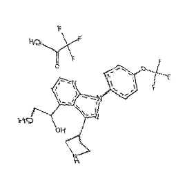 O=C(O)C(F)(F)F.OCC(O)c1ccnc2c1c(C1CNC1)nn2-c1ccc(OC(F)(F)F)cc1